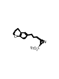 CCOC(=O)C1N=C1CCCc1ccc2c(c1)CCCO2